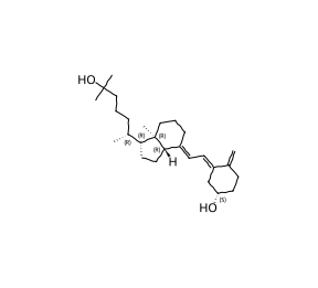 C=C1CC[C@H](O)CC1=CC=C1CCC[C@]2(C)[C@@H]([C@H](C)CCCC(C)(C)O)CC[C@@H]12